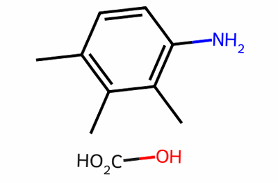 Cc1ccc(N)c(C)c1C.O=C(O)O